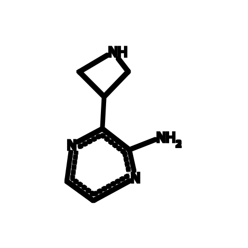 Nc1nccnc1C1CNC1